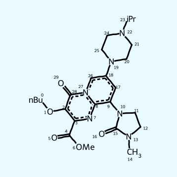 CCCCOc1c(C(=O)OC)nc2c(N3CCN(C)C3=O)cc(N3CCN(C(C)C)CC3)cn2c1=O